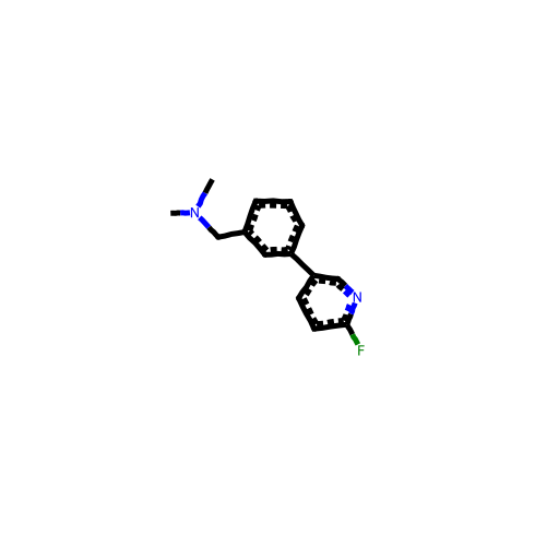 CN(C)Cc1cccc(-c2ccc(F)nc2)c1